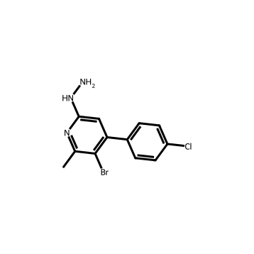 Cc1nc(NN)cc(-c2ccc(Cl)cc2)c1Br